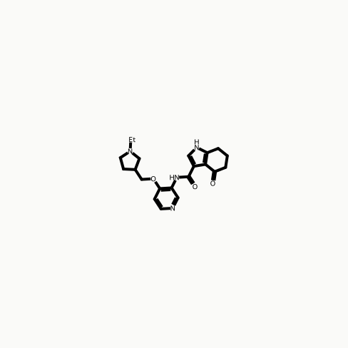 CCN1CCC(COc2ccncc2NC(=O)c2c[nH]c3c2C(=O)CCC3)C1